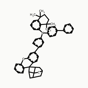 CC1(C)CCC(C)(C)c2c(N(c3ccc(-c4ccccc4)cc3)c3ccc(-c4ccc5c(c4)Oc4ccccc4C54C5CC6CC7CC4C75C6)cc3)cccc21